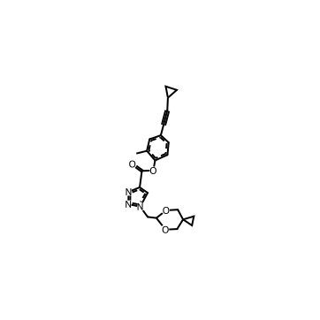 Cc1cc(C#CC2CC2)ccc1OC(=O)c1cn(CC2OCC3(CC3)CO2)nn1